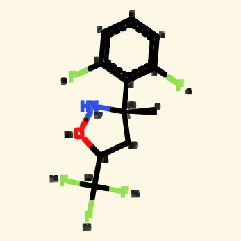 C[C@@]1(c2c(F)cccc2F)CC(C(F)(F)F)ON1